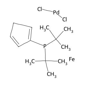 CC(C)(C)P(C1=CCC=C1)C(C)(C)C.[Cl][Pd][Cl].[Fe]